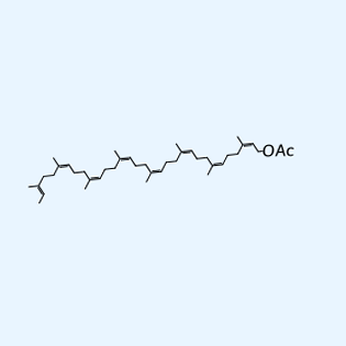 CC=C(C)CCC(C)=CCCC(C)=CCCC(C)=CCCC(C)=CCCC(C)=CCCC(C)=CCCC(C)=CCOC(C)=O